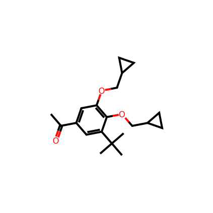 CC(=O)c1cc(OCC2CC2)c(OCC2CC2)c(C(C)(C)C)c1